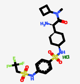 CN(C(=O)[C@@H](N)[C@H]1CC[C@H](NS(=O)(=O)c2ccc(NS(=O)(=O)CC(F)(F)F)cc2)CC1)C1CCC1.Cl